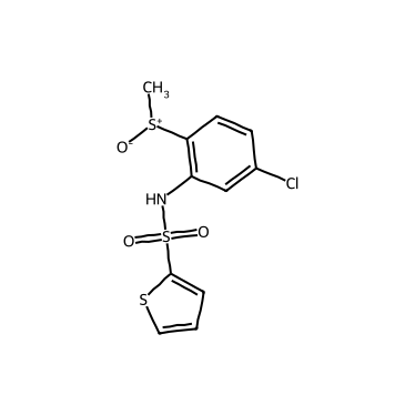 C[S+]([O-])c1ccc(Cl)cc1NS(=O)(=O)c1cccs1